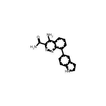 NC(=O)c1nnc2c(-c3ccc4[nH]ccc4c3)cccc2c1N